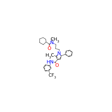 Cc1c(C(=O)Nc2cccc(C(F)(F)F)c2)cc(-c2ccccc2)n1CCCN(C)C(=O)C1CCCCC1